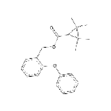 CC1(C)C(C(=O)OCc2ccccc2Oc2ccccc2)C1(C)C